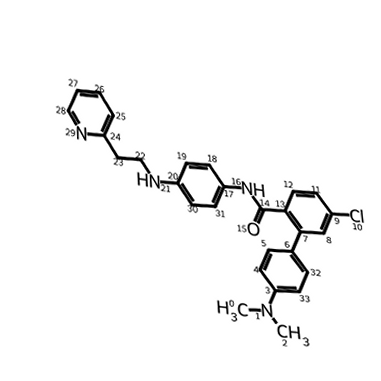 CN(C)c1ccc(-c2cc(Cl)ccc2C(=O)Nc2ccc(NCCc3ccccn3)cc2)cc1